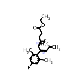 C=C(C)/C=C(\C=C(/F)CCC(=O)OCC)c1c(C)cc(F)cc1C